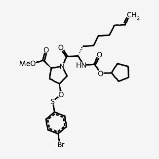 C=CCCCCC[C@H](NC(=O)OC1CCCC1)C(=O)N1C[C@@H](OSc2ccc(Br)cc2)C[C@H]1C(=O)OC